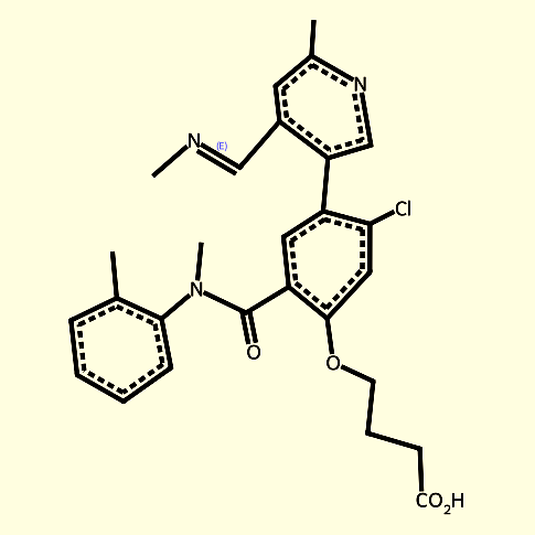 C/N=C/c1cc(C)ncc1-c1cc(C(=O)N(C)c2ccccc2C)c(OCCCC(=O)O)cc1Cl